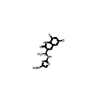 CC(=O)Nc1coc(N[C@@H](C)c2cc3cc(Cl)cc(F)c3[nH]c2=O)n1